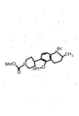 CCCOc1c(C2CCN(C(=O)OC)CC2)ccc2c1CCC(C)N2C(C)=O